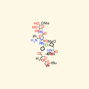 CNC(=O)[C@@H](Cc1ccc(OC)c(Cl)c1)NC(=O)/C=C/C[C@H](OC(=O)[C@H](CC(C)C)OC(=O)C(C)(C)C)[C@H](C)[C@H]1O[C@@H]1c1ccc(CNC(=O)[C@H](CCC(=O)NC[C@H]2O[C@@H](OC)[C@H](O)[C@@H](O)[C@@H]2O)NC(=O)[C@@H](N)C(C)C)cc1